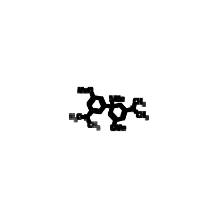 CNC1(c2cc(OC)cc(N(C)C)c2)C=C(OC)C=C(N(C)C)C1